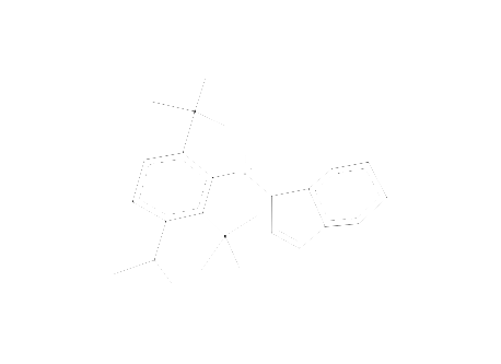 CC(C)c1ccc(C(C)(C)C)c([SiH2]C2C=Cc3ccccc32)c1C(C)(C)C